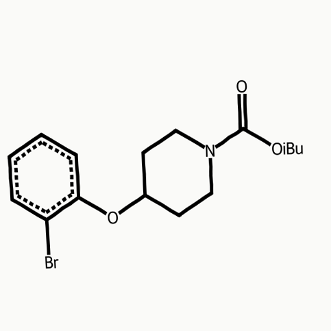 CC(C)COC(=O)N1CCC(Oc2ccccc2Br)CC1